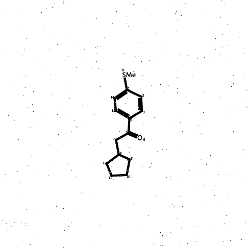 CSc1ccc(C(=O)CC2CCCC2)cc1